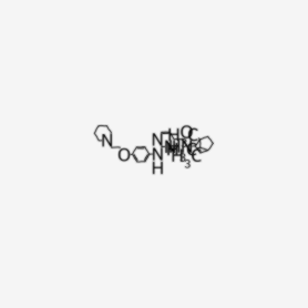 CC1(C)C2CCC1(C)C(NC(=O)c1ccnc(Nc3ccc(OCCN4CCCCC4)cc3)n1)C2